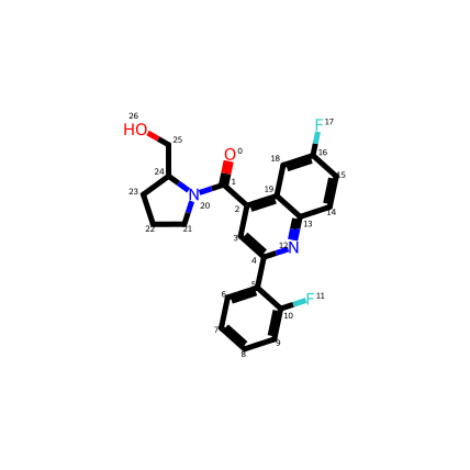 O=C(c1cc(-c2ccccc2F)nc2ccc(F)cc12)N1CCCC1CO